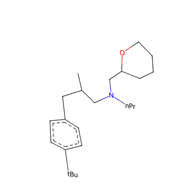 CCCN(CC(C)Cc1ccc(C(C)(C)C)cc1)CC1CCCCO1